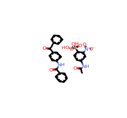 CC(=O)Nc1ccc([As](=O)(O)OO)c([N+](=O)[O-])c1.O=C(Nc1ccc(C(=O)c2ccccc2)cc1)c1ccccc1